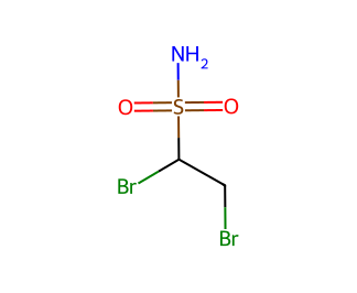 NS(=O)(=O)C(Br)CBr